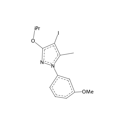 COc1cccc(-n2nc(OC(C)C)c(I)c2C)c1